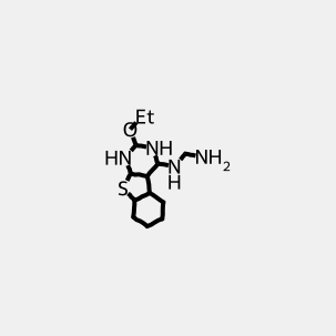 CCOC1NC(NCN)C2C(N1)SC1CCCCC12